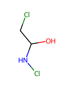 OC(CCl)NCl